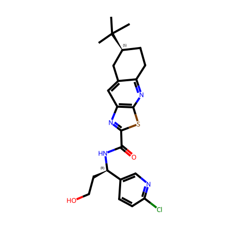 CC(C)(C)[C@H]1CCc2nc3sc(C(=O)N[C@H](CCO)c4ccc(Cl)nc4)nc3cc2C1